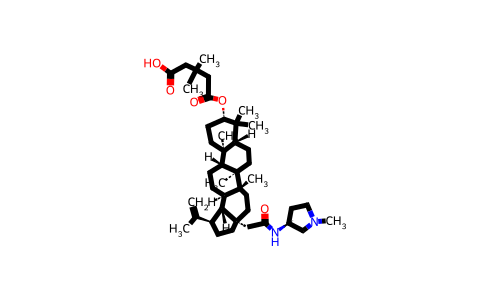 C=C(C)[C@@H]1CC[C@]2(CC(=O)N[C@H]3CCN(C)C3)CC[C@]3(C)[C@H](CC[C@@H]4[C@@]5(C)CC[C@H](OC(=O)CC(C)(C)CC(=O)O)C(C)(C)[C@@H]5CC[C@]43C)[C@@H]12